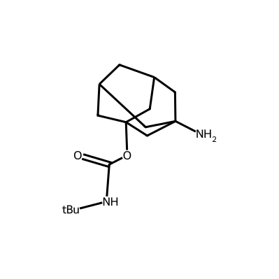 CC(C)(C)NC(=O)OC12CC3CC(CC(N)(C3)C1)C2